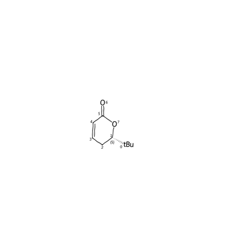 CC(C)(C)[C@@H]1CC=CC(=O)O1